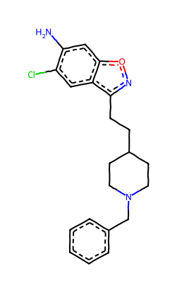 Nc1cc2onc(CCC3CCN(Cc4ccccc4)CC3)c2cc1Cl